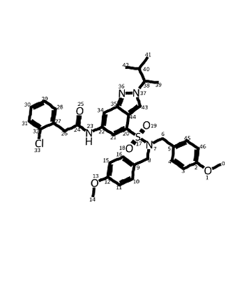 COc1ccc(CN(Cc2ccc(OC)cc2)S(=O)(=O)c2cc(NC(=O)Cc3ccccc3Cl)cc3nn(C(C)C(C)C)cc23)cc1